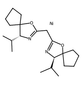 CC(C)[C@H]1N=C(CC2=N[C@H](C(C)C)C3(CCCC3)O2)OC12CCCC2.[Ni]